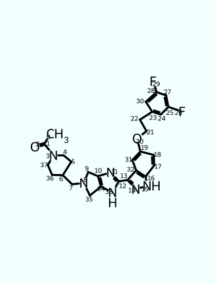 CC(=O)N1CCC(CN2Cc3nc(-c4n[nH]c5ccc(OCCc6cc(F)cc(F)c6)cc45)[nH]c3C2)CC1